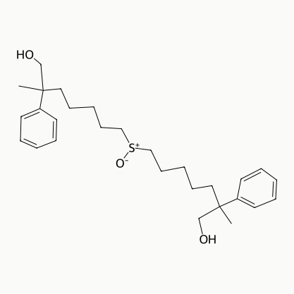 CC(CO)(CCCCC[S+]([O-])CCCCCC(C)(CO)c1ccccc1)c1ccccc1